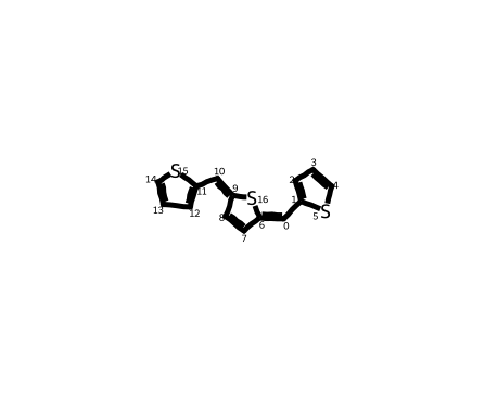 C(/c1cccs1)=c1\cc/c(=C\c2cccs2)s1